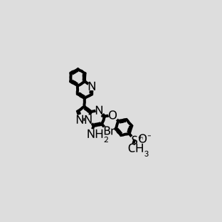 C[S+]([O-])c1ccc(Oc2nc3c(-c4cnc5ccccc5c4)cnn3c(N)c2Br)cc1